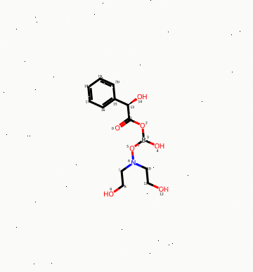 O=C(OB(O)ON(CCO)CCO)[C@H](O)c1ccccc1